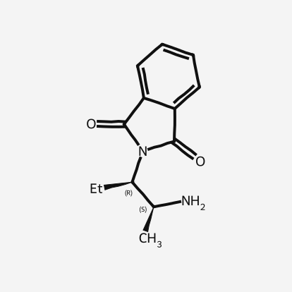 CC[C@H]([C@H](C)N)N1C(=O)c2ccccc2C1=O